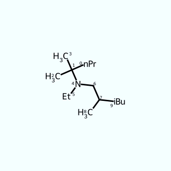 CCCC(C)(C)N(CC)CC(C)C(C)CC